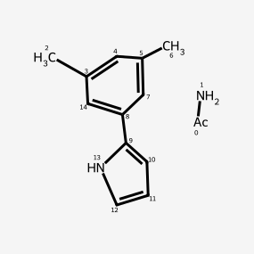 CC(N)=O.Cc1cc(C)cc(-c2ccc[nH]2)c1